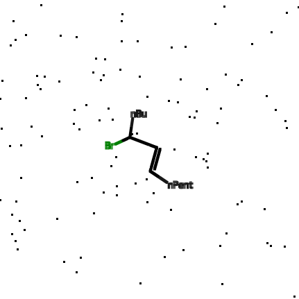 CCCCCC=CC(Br)CCCC